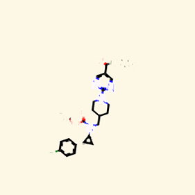 COC(=O)c1cnc(N2CCC(CN(C(=O)OC(C)(C)C)[C@H]3C[C@@H]3c3ccc(F)cc3)CC2)nc1